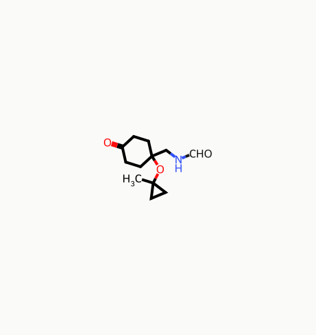 CC1(OC2(CNC=O)CCC(=O)CC2)CC1